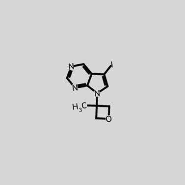 CC1(n2cc(I)c3cncnc32)COC1